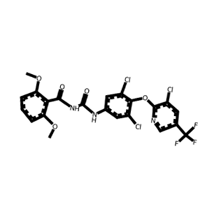 COc1cccc(OC)c1C(=O)NC(=O)Nc1cc(Cl)c(Oc2ncc(C(F)(F)F)cc2Cl)c(Cl)c1